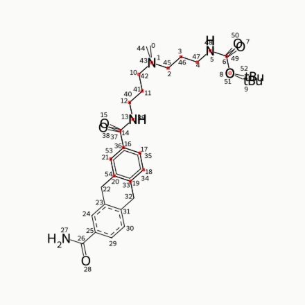 CN(CCCNC(=O)OC(C)(C)C)CCCNC(=O)c1ccc2c(c1)C1c3cc(C(N)=O)ccc3C2c2ccc(C(=O)NCCCN(C)CCCNC(=O)OC(C)(C)C)cc21